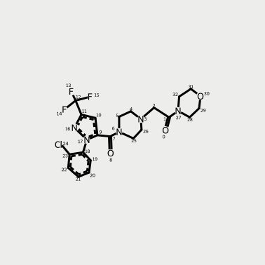 O=C(CN1CCN(C(=O)c2cc(C(F)(F)F)nn2-c2ccccc2Cl)CC1)N1CCOCC1